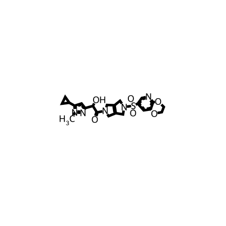 Cn1nc(C(O)C(=O)N2CC3=C(C2)CN(S(=O)(=O)c2cnc4c(c2)OCCO4)C3)cc1C1CC1